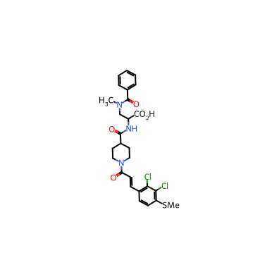 CSc1ccc(C=CC(=O)N2CCC(C(=O)NC(CN(C)C(=O)c3ccccc3)C(=O)O)CC2)c(Cl)c1Cl